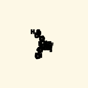 COC(=O)c1ccc2nc(OS(=O)(=O)C(F)(F)F)c(N3CCN(c4ccccn4)C[C@@H]3C)nc2c1